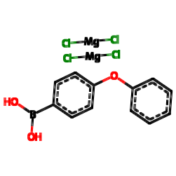 OB(O)c1ccc(Oc2ccccc2)cc1.[Cl][Mg][Cl].[Cl][Mg][Cl]